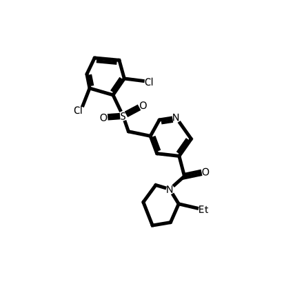 CCC1CCCCN1C(=O)c1cncc(CS(=O)(=O)c2c(Cl)cccc2Cl)c1